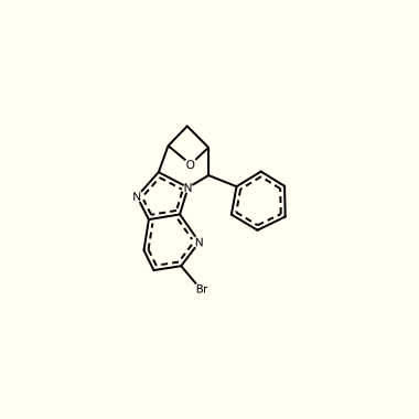 Brc1ccc2nc3n(c2n1)C(c1ccccc1)C1CC3O1